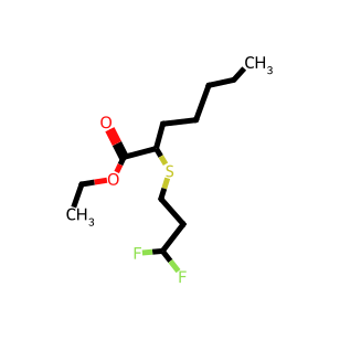 CCCCCC(SCCC(F)F)C(=O)OCC